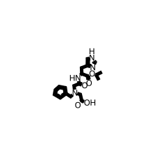 CC(C)OC(=O)C(Cc1c[nH]cn1)NC(=O)CN(CC(=O)O)Cc1ccccc1